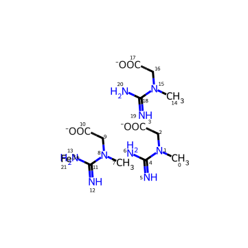 CN(CC(=O)[O-])C(=N)N.CN(CC(=O)[O-])C(=N)N.CN(CC(=O)[O-])C(=N)N.[Fe+3]